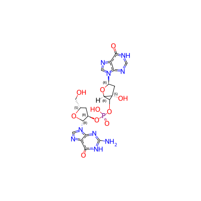 Nc1nc2c(ncn2[C@@H]2O[C@H](CO)C[C@H]2OP(=O)(O)OC2[C@H]3O[C@@H](n4cnc5c(=O)[nH]cnc54)C[C@@]23O)c(=O)[nH]1